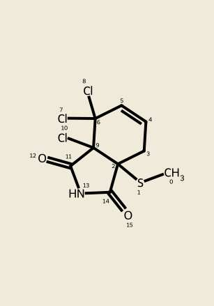 CSC12CC=CC(Cl)(Cl)C1(Cl)C(=O)NC2=O